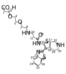 O=C(O)CCOCCOCCNCCC(=O)Nc1sc2c(c1-c1nc3ccccc3s1)CCNC2